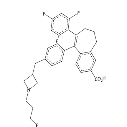 O=C(O)c1ccc2c(c1)CCCC(c1c(F)cc(F)cc1F)=C2c1ccc(CC2CN(CCCF)C2)cc1